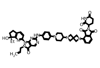 C=CCn1c(=O)c2cnc(Nc3ccc(N4CCC(N5CC6(CN(c7cccc8c7C(=O)N(C7CCC(=O)NC7=O)C8=O)C6)C5)CC4)cc3)nc2n1-c1ccc2c(n1)[C@@](O)(CC)CC2